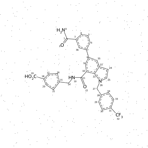 NC(=O)c1cccc(-c2cc(C(=O)NCc3ccc(C(=O)O)cc3)c3c(ccn3Cc3ccc(C(F)(F)F)cc3)c2)c1